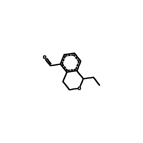 CCC1OCCc2c(C=O)cccc21